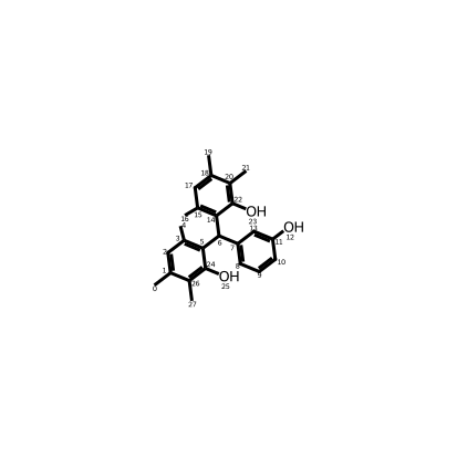 Cc1cc(C)c(C(c2cccc(O)c2)c2c(C)cc(C)c(C)c2O)c(O)c1C